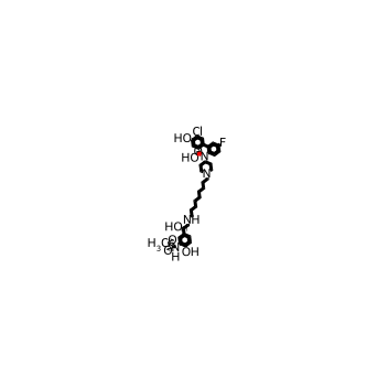 CS(=O)(=O)Nc1cc([C@H](O)CNCCCCCCCCCN2CCC(N(C(=O)O)c3ccc(F)cc3-c3ccc(O)c(Cl)c3)CC2)ccc1O